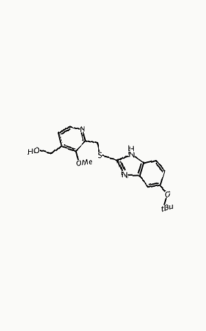 COc1c(CO)ccnc1CSc1nc2cc(OC(C)(C)C)ccc2[nH]1